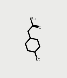 CCC1CCC(CC(=O)C(C)(C)C)CC1